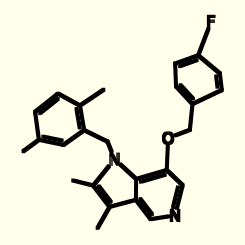 Cc1ccc(C)c(Cn2c(C)c(C)c3cncc(OCc4ccc(F)cc4)c32)c1